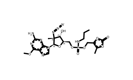 CCCNP(=O)(OCc1oc(=O)oc1C)OC[C@H]1O[C@@H](n2cnc3c(OC)nc(N)nc32)[C@](C)(N=[N+]=[N-])[C@@H]1O